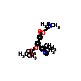 CN(C)CCCCOC(=O)c1ccc(-c2ccc(OCCOC(=O)C(C)(C)C)c(-c3ccc(N4CCCC4)c(C(C)(C)C)c3)c2)cc1